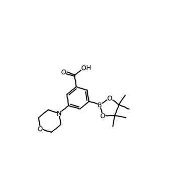 CC1(C)OB(c2cc(C(=O)O)cc(N3CCOCC3)c2)OC1(C)C